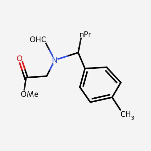 CCCC(c1ccc(C)cc1)N(C=O)CC(=O)OC